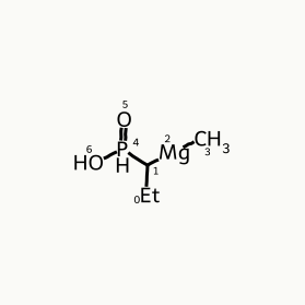 CC[CH]([Mg][CH3])[PH](=O)O